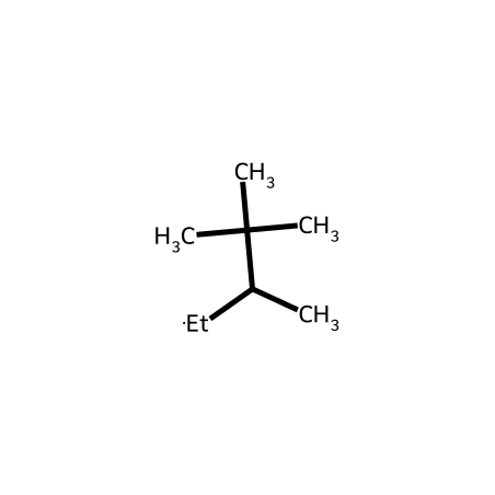 C[CH]C(C)C(C)(C)C